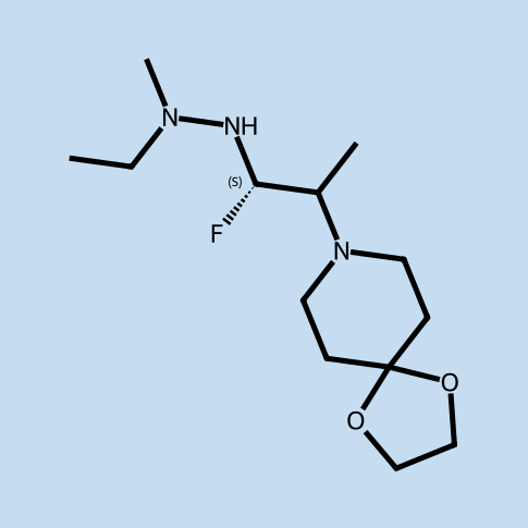 CCN(C)N[C@@H](F)C(C)N1CCC2(CC1)OCCO2